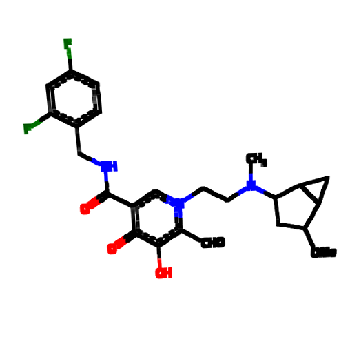 COC1CC(N(C)CCn2cc(C(=O)NCc3ccc(F)cc3F)c(=O)c(O)c2C=O)C2CC12